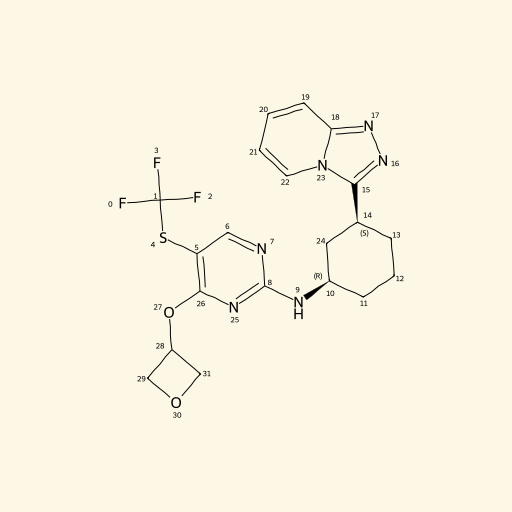 FC(F)(F)Sc1cnc(N[C@@H]2CCC[C@H](c3nnc4ccccn34)C2)nc1OC1COC1